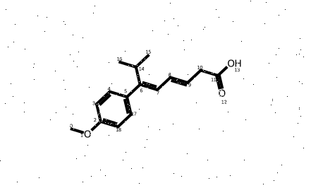 COc1ccc(/C(=C/C=C/CC(=O)O)C(C)C)cc1